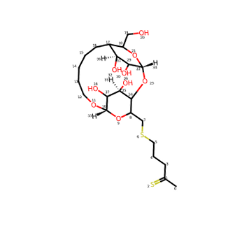 CC(=S)CCCSCC1O[C@@H]2OCCCCCC3C(CO)O[C@H](OC1[C@H](O)C2O)C(O)[C@H]3O